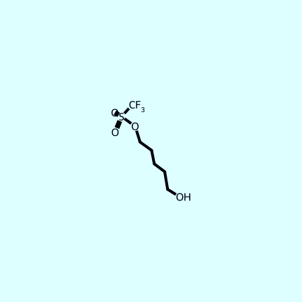 O=S(=O)(OCCCCCO)C(F)(F)F